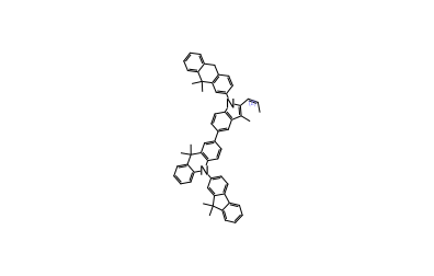 C/C=C\c1c(C)c2cc(-c3ccc4c(c3)C(C)(C)c3ccccc3N4c3ccc4c(c3)C(C)(C)c3ccccc3-4)ccc2n1-c1ccc2c(c1)C(C)(C)c1ccccc1C2